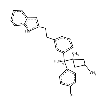 CC(C)c1ccc([C@](O)(c2cncc(CCc3cc4ccccc4[nH]3)c2)C2(C)CN(C)C2)cc1